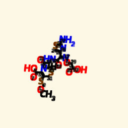 COCSC1=C(C(=O)O)N2C(=O)[C@@H](NC(=O)/C(=N\OCC(=O)O)c3csc(N)n3)[C@H]2SC1